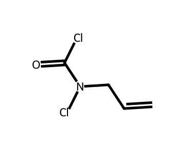 C=CCN(Cl)C(=O)Cl